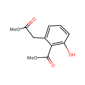 COC(=O)Cc1cccc(O)c1C(=O)OC